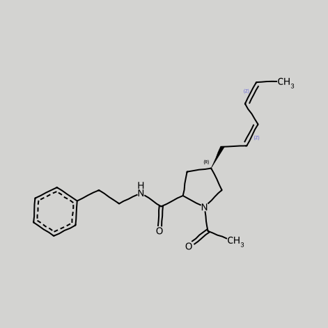 C/C=C\C=C/C[C@@H]1CC(C(=O)NCCc2ccccc2)N(C(C)=O)C1